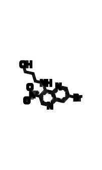 O=[N+]([O-])c1cnc2cc(Br)cnc2c1NCCCO